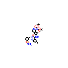 CCc1cccc(C(Nc2ccc3c(N(C(=O)OC(C)(C)C)C(=O)OC(C)(C)C)nccc3c2)C(=O)NCc2cccc(S(N)(=O)=O)c2)c1